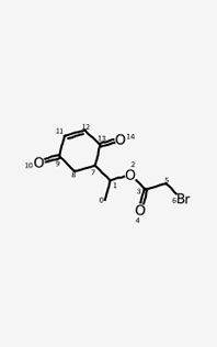 CC(OC(=O)CBr)C1CC(=O)C=CC1=O